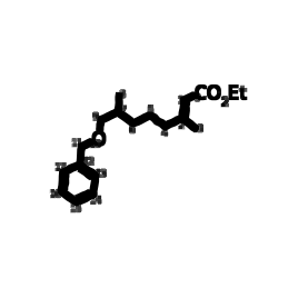 CCOC(=O)C=C(C)CCCC(C)COCc1ccccc1